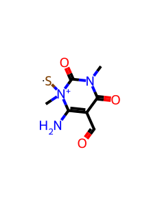 CN1C(=O)C(C=O)=C(N)[N+](C)([S])C1=O